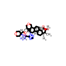 CNC1(CO[C@H]2[C@H](n3ncnc3C(N)=O)C[C@@]34COC[C@@]2(C)[C@@H]3CC[C@H]2C4=CC[C@@]3(C)[C@H](C(=O)O)[C@@](C)([C@H](C)C(C)C)CC[C@]23C)CCOCC1